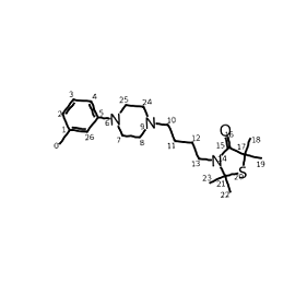 Cc1cccc(N2CCN(CCCCN3C(=O)C(C)(C)SC3(C)C)CC2)c1